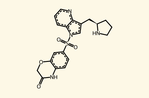 O=C1COc2cc(S(=O)(=O)n3cc(C[C@H]4CCCN4)c4ncccc43)ccc2N1